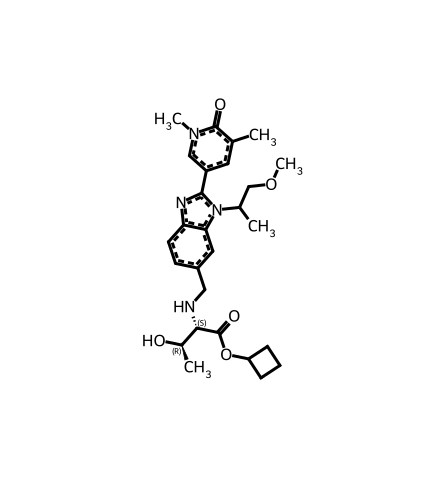 COCC(C)n1c(-c2cc(C)c(=O)n(C)c2)nc2ccc(CN[C@H](C(=O)OC3CCC3)[C@@H](C)O)cc21